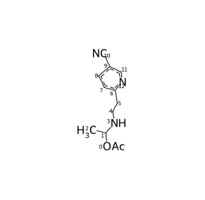 CC(=O)OC(C)NCCc1ccc(C#N)cn1